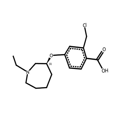 CCN1CCCC[C@H](Oc2ccc(C(=O)O)c(CCl)c2)C1